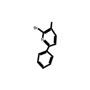 Cc1ccc(-c2ccccc2)nc1Br